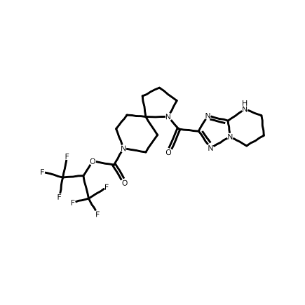 O=C(OC(C(F)(F)F)C(F)(F)F)N1CCC2(CCCN2C(=O)c2nc3n(n2)CCCN3)CC1